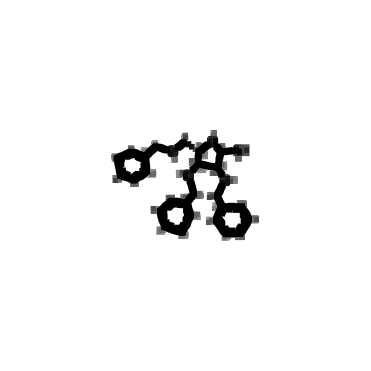 SC1O[C@@H](COCc2ccccc2)[C@H](OCc2ccccc2)[C@@H]1OCc1ccccc1